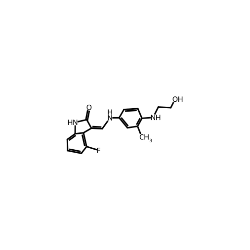 Cc1cc(NC=C2C(=O)Nc3cccc(F)c32)ccc1NCCO